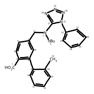 CCCCN(Cc1ccc(C(=O)O)c(-c2ccccc2C)c1)c1nnnn1-c1ccccc1